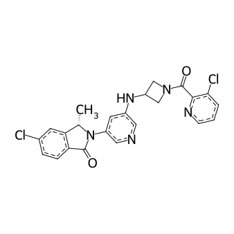 C[C@H]1c2cc(Cl)ccc2C(=O)N1c1cncc(NC2CN(C(=O)c3ncccc3Cl)C2)c1